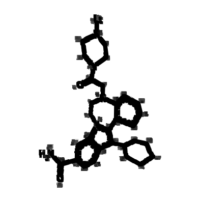 CCN1CCN(C(=O)CN2CCn3c(c(C4CCCCC4)c4ccc(C(N)=O)cc43)-c3ccccc32)CC1